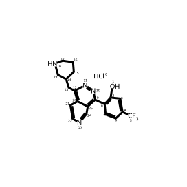 Cl.Oc1cc(C(F)(F)F)ccc1-c1nnc(CC2CCCNC2)c2ccncc12